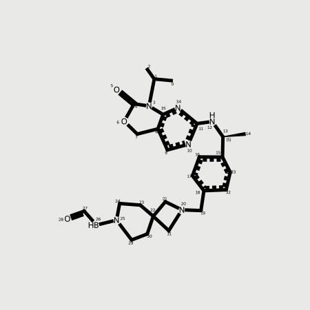 CC(C)N1C(=O)OCc2cnc(N[C@@H](C)c3ccc(CN4CC5(CCN(BC=O)CC5)C4)cc3)nc21